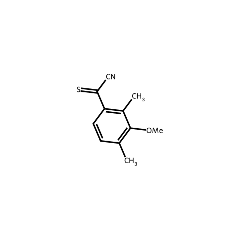 COc1c(C)ccc(C(=S)C#N)c1C